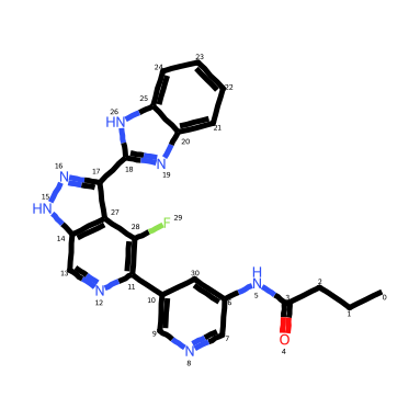 CCCC(=O)Nc1cncc(-c2ncc3[nH]nc(-c4nc5ccccc5[nH]4)c3c2F)c1